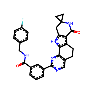 O=C(NCc1ccc(F)cc1)c1cccc(-c2ncc3c(n2)-c2[nH]c4c(c2CC3)C(=O)NC2(CC2)C4)c1